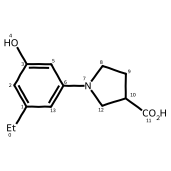 CCc1cc(O)cc(N2CCC(C(=O)O)C2)c1